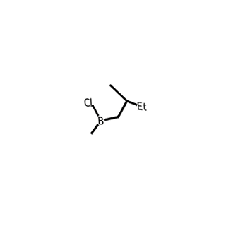 CCC(C)CB(C)Cl